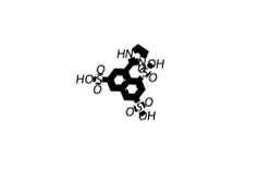 O=S(=O)(O)c1cc(-c2ncc[nH]2)c2c(S(=O)(=O)O)cc(S(=O)(=O)O)cc2c1